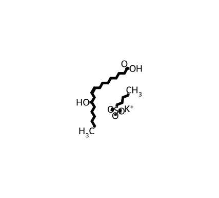 CCCCCCC(O)C/C=C\CCCCCCCC(=O)O.CCCCCS(=O)(=O)[O-].[K+]